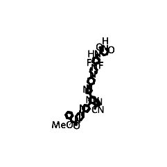 CO[C@@H](C(=O)N1CCN(c2ccc(-c3nc(-c4cnn(C5CCC(N6CCN(c7c(F)cc(NC8CCC(=O)NC8=O)cc7F)CC6)CC5)c4)cn4ncc(C#N)c34)cn2)CC1)c1ccccc1